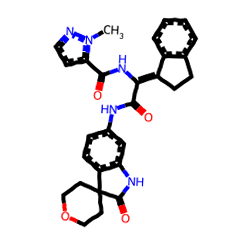 Cn1nccc1C(=O)NC(C(=O)Nc1ccc2c(c1)NC(=O)C21CCOCC1)=C1CCc2ccccc21